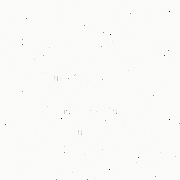 C/C=C/CN1CCCC(Nc2nccc(N3CCCCCC3)n2)C1